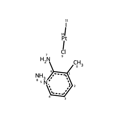 Cc1cccnc1N.N.[Cl][Pt][I]